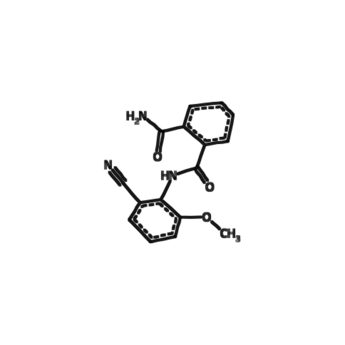 COc1cccc(C#N)c1NC(=O)c1ccccc1C(N)=O